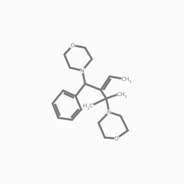 C/C=C(/C(c1ccccc1)N1CCOCC1)C(C)(C)N1CCOCC1